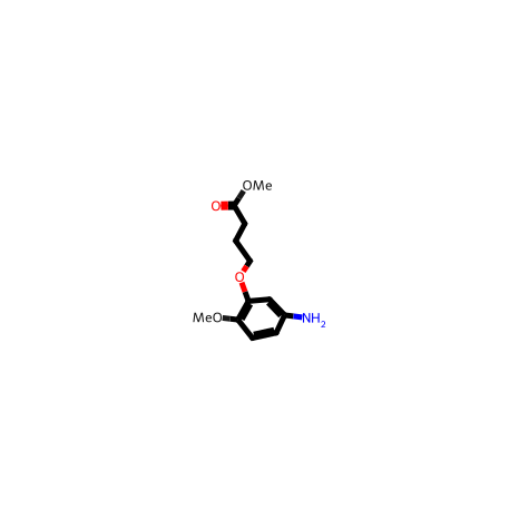 COC(=O)CCCOc1cc(N)ccc1OC